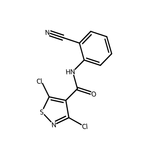 N#Cc1ccccc1NC(=O)c1c(Cl)nsc1Cl